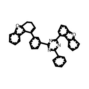 C1=C(c2cccc(-c3nc(-c4ccccc4)nc(-c4cccc5oc6ccccc6c45)n3)c2)c2c(oc3ccccc23)CC1